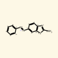 Nc1nc2ccc(/N=N/c3ccccc3)cc2s1